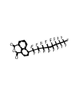 O=C1OC(=O)c2ccc(C(F)(F)C(F)(F)C(F)(F)C(F)(F)C(F)(F)C(F)(F)C(F)(F)C(F)(F)F)c3cccc1c23